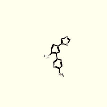 Cc1ccc(-c2cncs2)cc1-c1cnc(N)cn1